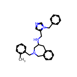 Cc1ccccc1CN1Cc2ccccc2CC(NCc2cncn2Cc2ccccc2)C1